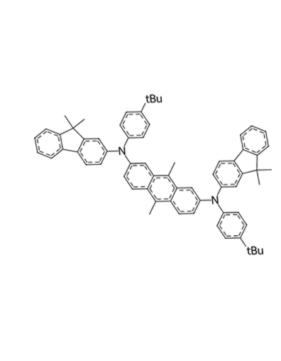 Cc1c2ccc(N(c3ccc(C(C)(C)C)cc3)c3ccc4c(c3)C(C)(C)c3ccccc3-4)cc2c(C)c2cc(N(c3ccc(C(C)(C)C)cc3)c3ccc4c(c3)C(C)(C)c3ccccc3-4)ccc12